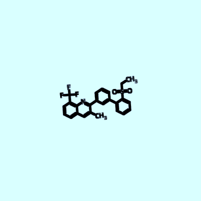 CCS(=O)(=O)c1ccccc1-c1cccc(-c2nc3c(C(F)(F)F)cccc3cc2C)c1